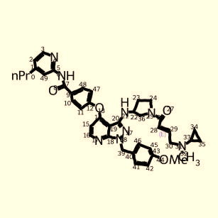 CCCc1ccnc(NC(=O)c2ccc(Oc3ccnc4c3c(NC3CCN(C(=O)/C=C/CN(C)C5CC5)C3)nn4Cc3ccc(OC)cc3)cc2)c1